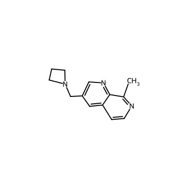 Cc1nccc2cc(CN3CCC3)cnc12